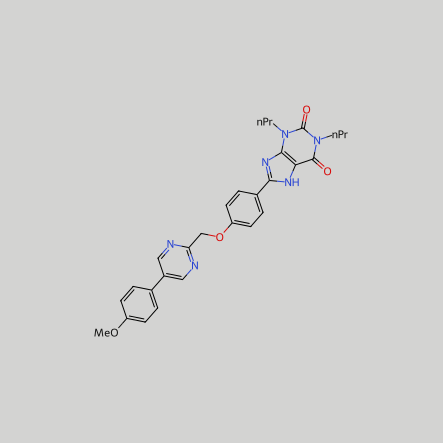 CCCn1c(=O)c2[nH]c(-c3ccc(OCc4ncc(-c5ccc(OC)cc5)cn4)cc3)nc2n(CCC)c1=O